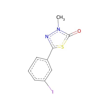 Cn1nc(-c2cccc(I)c2)sc1=O